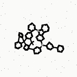 CC1(C)c2ccccc2C2(c3ccccc3-c3ccccc32)c2cccc(-c3cccc(N(c4ccc(-c5ccccc5)cc4)c4ccc5c(c4)c4ccccc4n5-c4ccccc4)c3)c21